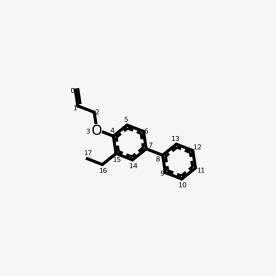 C=CCOc1ccc(-c2ccccc2)cc1CC